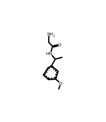 COc1cccc(C(C)NC(=O)CN)c1